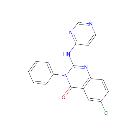 O=c1c2cc(Cl)ccc2nc(Nc2ccncn2)n1-c1ccccc1